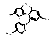 COc1cncc(-n2c(Cl)nc(C)c2-c2c(F)cc(OC)cc2F)c1